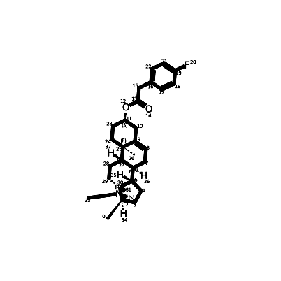 C[C@H]1[C@H]2CC[C@H]3[C@@H]4CC=C5C[C@@H](OC(=O)Cc6ccc(F)cc6)CC[C@]5(C)[C@H]4CC[C@]23CN1C